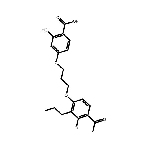 CCCc1c(OCCCOc2ccc(C(=O)O)c(O)c2)ccc(C(C)=O)c1O